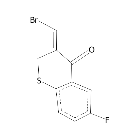 O=C1/C(=C/Br)CSc2ccc(F)cc21